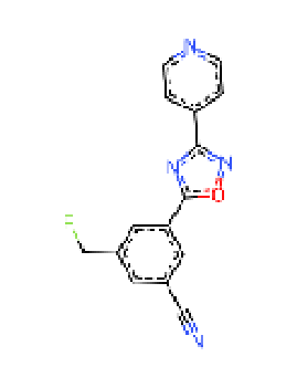 N#Cc1cc(CF)cc(-c2nc(-c3ccncc3)no2)c1